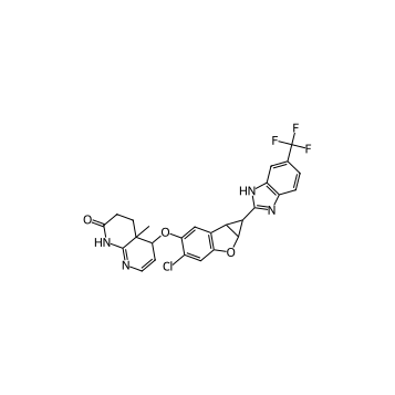 CC12CCC(=O)NC1=NC=CC2Oc1cc2c(cc1Cl)OC1C(c3nc4ccc(C(F)(F)F)cc4[nH]3)C21